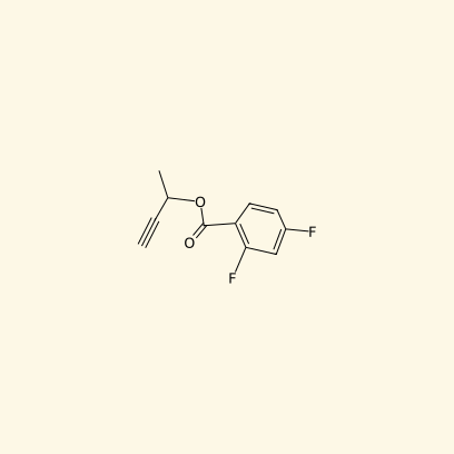 C#CC(C)OC(=O)c1ccc(F)cc1F